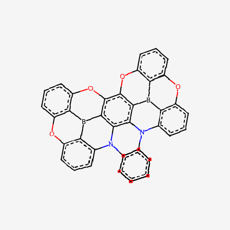 c1ccc(N2c3cccc4c3B3c5c(cccc5Oc5c6c7c(c2c53)N(c2ccccc2)c2cccc3c2B7c2c(cccc2O6)O3)O4)cc1